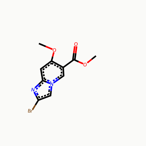 COC(=O)c1cn2cc(Br)nc2cc1OC